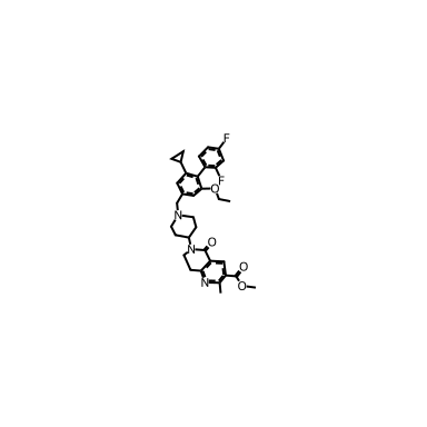 CCOc1cc(CN2CCC(N3CCc4nc(C)c(C(=O)OC)cc4C3=O)CC2)cc(C2CC2)c1-c1ccc(F)cc1F